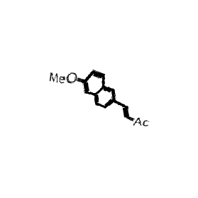 COc1ccc2cc(C=CC(C)=O)ccc2c1